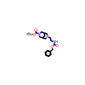 CC(C)(C)OC(=O)N1CC2CC(CN(CCNC(=O)OCc3ccccc3)C2)C1